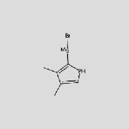 Cc1c[pH][c]([Mg][Br])c1C